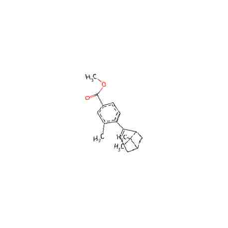 COC(=O)c1ccc(C2=CCC3CC2C3(C)C)c(C)c1